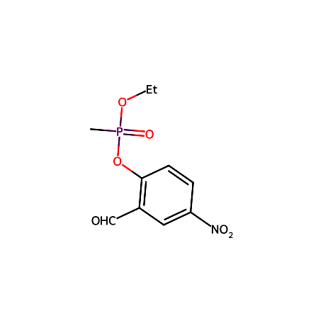 CCOP(C)(=O)Oc1ccc([N+](=O)[O-])cc1C=O